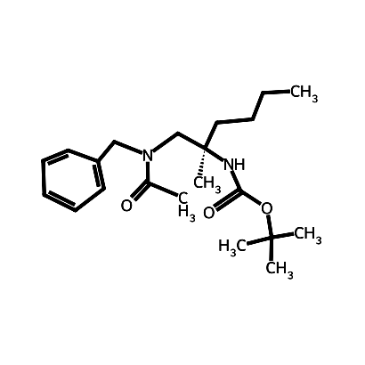 CCCC[C@](C)(CN(Cc1ccccc1)C(C)=O)NC(=O)OC(C)(C)C